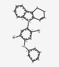 Brc1cc(-n2c3c(c4ccccc42)CCC=C3)c(Br)cc1Oc1ccccc1